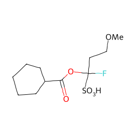 COCCC(F)(OC(=O)C1CCCCC1)S(=O)(=O)O